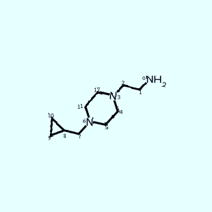 NCCN1CCN(CC2CC2)CC1